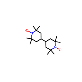 CC1(C)CC(C2CC(C)(C)N([O])C(C)(C)C2)CC(C)(C)N1[O]